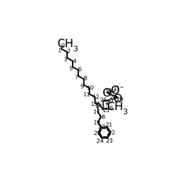 CCCCCCCCCCCCCC[N+](CC)(CCCc1ccccc1)CCS(=O)(=O)[O-]